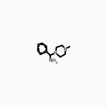 CN1CCN(C(N)c2cc[c]cc2)CC1